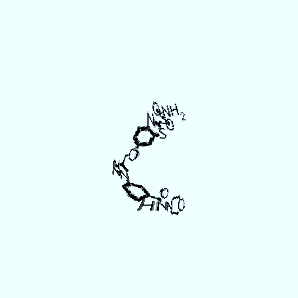 NS(=O)(=O)c1nc2ccc(OCc3cn(-c4cccc(C(=O)NN5CCOCC5)c4)nn3)cc2s1